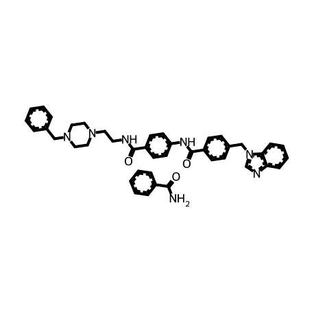 NC(=O)c1ccccc1.O=C(NCCN1CCN(Cc2ccccc2)CC1)c1ccc(NC(=O)c2ccc(Cn3cnc4ccccc43)cc2)cc1